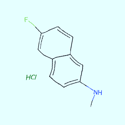 CNc1ccc2cc(F)ccc2c1.Cl